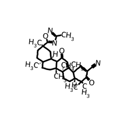 Cc1noc([C@@]2(C)CC[C@]3(C)CC[C@]4(C)C(C(=O)C=C5[C@@]6(C)C=C(C#N)C(=O)C(C)(C)[C@@H]6CC[C@]54C)[C@@H]3C2)n1